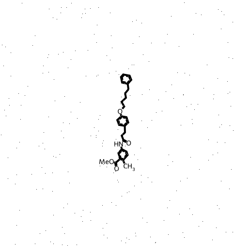 COC(=O)c1cc(NC(=O)CCc2ccc(OCCCCCc3ccccc3)cc2)ccc1C